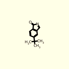 CC(C)(C)c1ccc2c(c1)C=NC2=O